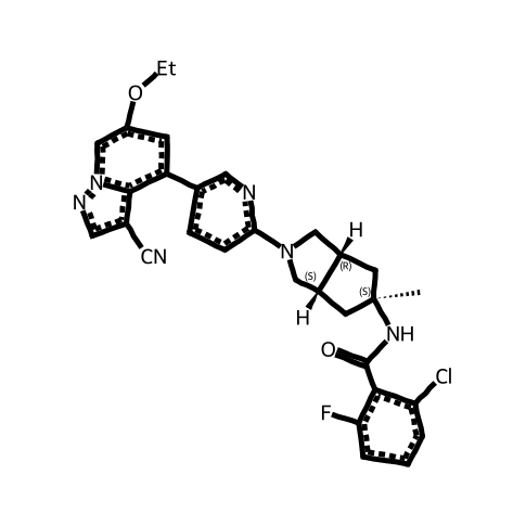 CCOc1cc(-c2ccc(N3C[C@@H]4C[C@@](C)(NC(=O)c5c(F)cccc5Cl)C[C@@H]4C3)nc2)c2c(C#N)cnn2c1